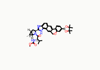 COC(=O)N[C@H](C(=O)N1[C@@H]2[C@H](C)[C@@H]2C[C@H]1c1nc2ccc3cc4c(cc3c2[nH]1)COc1cc(B2OC(C)(C)C(C)(C)O2)ccc1-4)C(C)C